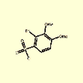 COc1ccc(S(=O)(=O)Cl)c(Br)c1OC